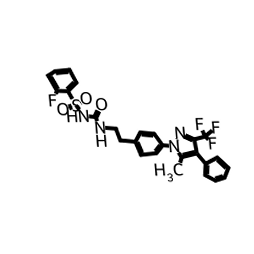 Cc1c(-c2ccccc2)c(C(F)(F)F)nn1-c1ccc(CCNC(=O)NS(=O)(=O)c2ccccc2F)cc1